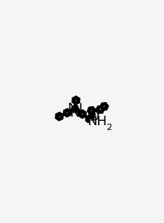 C/C=C(/c1ccc(-c2nc(-c3ccccc3)nc(-c3ccc(-c4ccccc4)cc3)n2)cc1)c1c(N)oc2c(-c3ccc4ccccc4c3)cccc12